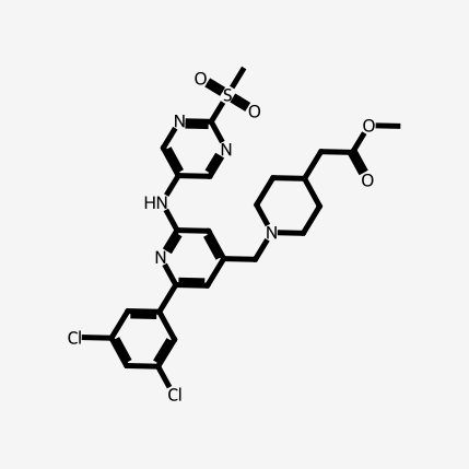 COC(=O)CC1CCN(Cc2cc(Nc3cnc(S(C)(=O)=O)nc3)nc(-c3cc(Cl)cc(Cl)c3)c2)CC1